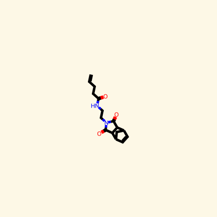 C=CCCC(=O)NCCN1C(=O)C2C3C=CC(C3)C2C1=O